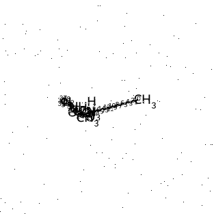 CCCCCCCCCCCCCCCCCCNC(=O)OCC(C)(C)COC(=O)NCCN1CCCCC1